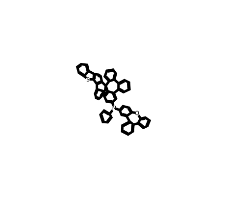 c1ccc(N(c2ccc3c(c2)-c2ccccc2-c2ccccc2O3)c2ccc3c(c2)-c2ccccc2-c2ccccc2C32c3ccccc3-c3c2ccc2c3sc3ccccc32)cc1